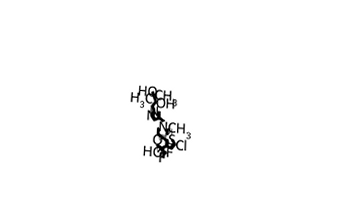 C[C@H]1C[C@@]2(CCN1Cc1cnn(CC(O)C(C)(C)O)c1)OC[C@@](O)(C(F)F)c1cc(Cl)sc12